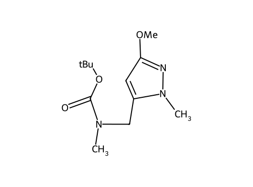 COc1cc(CN(C)C(=O)OC(C)(C)C)n(C)n1